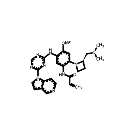 C=CC(=O)Nc1cc(Nc2ncnc(-n3ccc4cnccc43)n2)c(OC)cc1N1CC[C@@H]1CN(C)C